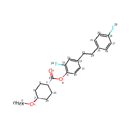 CCCCCCO[C@H]1CC[C@H](C(=O)Oc2ccc(CCc3ccc(F)cc3)cc2F)CC1